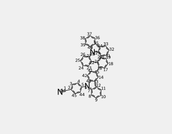 N#Cc1ccc(-n2c3ccccc3c3cc(-c4ccccc4-c4ccccc4-n4c5ccccc5c5ccccc54)ccc32)cc1